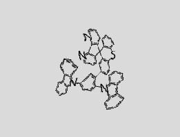 c1ccc2c(c1)Sc1ccc(-c3cc(-n4c5ccccc5c5ccccc54)ccc3-n3c4ccccc4c4ccccc43)cc1C21c2cccnc2-c2ncccc21